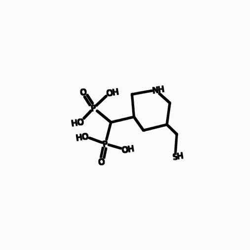 O=P(O)(O)C(C1CNCC(CS)C1)P(=O)(O)O